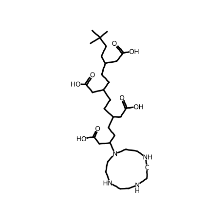 CC(C)(C)CCC(CCC(CCC(CCC(CC(=O)O)N1CCNCCNCCNCC1)CC(=O)O)CC(=O)O)CC(=O)O